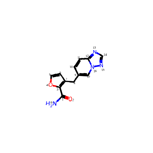 NC(=O)c1occc1Cc1ccc2ncnn2c1